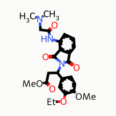 CCOc1cc(C(CC(=O)OC)N2C(=O)c3cccc(NC(=O)CN(C)C)c3C2=O)ccc1OC